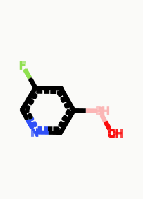 OBc1cncc(F)c1